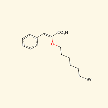 CC(C)CCCCCCOC(=Cc1ccccc1)C(=O)O